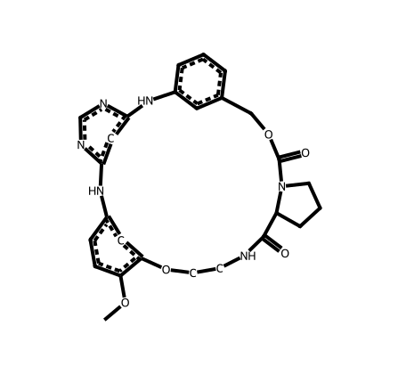 COc1ccc2cc1OCCNC(=O)C1CCCN1C(=O)OCc1cccc(c1)Nc1cc(ncn1)N2